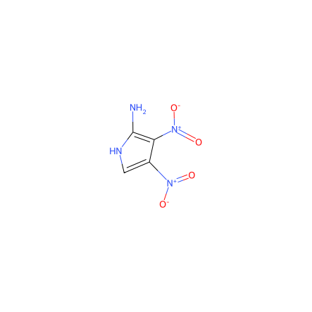 Nc1[nH]cc([N+](=O)[O-])c1[N+](=O)[O-]